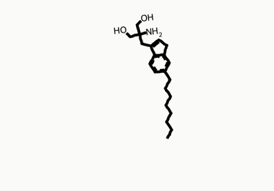 CCCCCCCCc1ccc2c(c1)CC=C2CC(N)(CO)CO